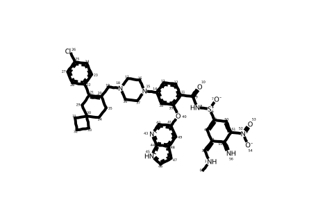 CN/C=C1/C=C([S+]([O-])NC(=O)c2ccc(N3CCN(CC4=C(c5ccc(Cl)cc5)CC5(CCC5)CC4)CC3)cc2Oc2cnc3[nH]ccc3c2)C=C([N+](=O)[O-])C1=N